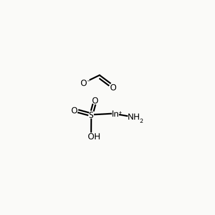 O=C[O-].[NH2][In+][S](=O)(=O)O